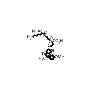 COc1ccc2c3c1O[C@@H]1C(OC(=O)C[C@H](OC(=O)CCNC(=O)[C@H](CCCCN)NC(C)=O)C(=O)O)=CC[C@]4(O)[C@H](C2)N(C)CC[C@@]314